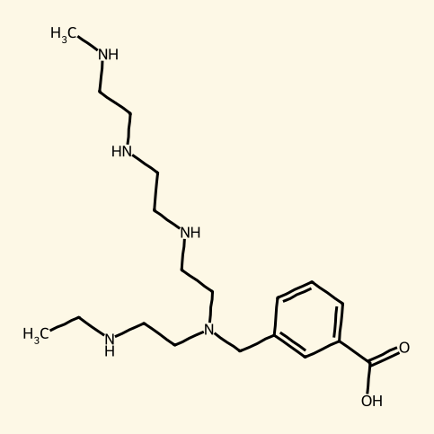 CCNCCN(CCNCCNCCNC)Cc1cccc(C(=O)O)c1